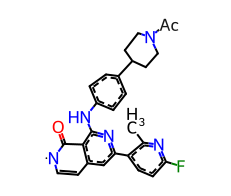 CC(=O)N1CCC(c2ccc(Nc3nc(-c4ccc(F)nc4C)cc4c3C(=O)[N]C=C4)cc2)CC1